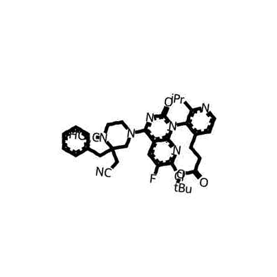 CC(C)c1nccc(CCC(=O)OC(C)(C)C)c1-n1c(=O)nc(N2CCN(C(=O)O)C(CC#N)(Cc3ccccc3)C2)c2cc(F)c(Cl)nc21